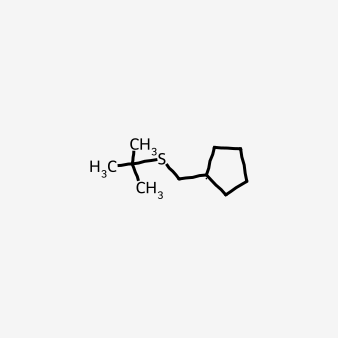 CC(C)(C)SC[C]1CCCC1